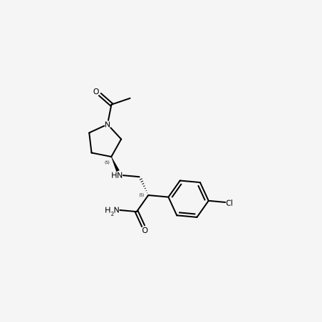 CC(=O)N1CC[C@H](NC[C@@H](C(N)=O)c2ccc(Cl)cc2)C1